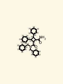 NC(=O)C1C(C(=O)N(Cc2ccccc2)Cc2ccccc2)C(c2ccccc2)C1c1ccccc1